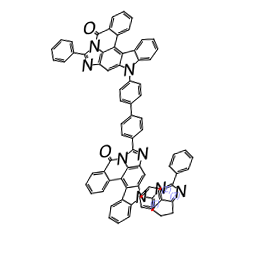 O=c1c2ccccc2c2c3c4ccccc4n(C4=C/CC/C(c5ccccc5)=N/C(c5ccccc5)=N\4)c3cc3nc(-c4ccc(-c5ccc(-n6c7ccccc7c7c8c9ccccc9c(=O)n9c(-c%10ccccc%10)nc(cc76)c89)cc5)cc4)n1c32